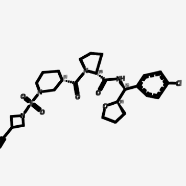 N#CC1CN(S(=O)(=O)N2CCC[C@H](C(=O)N3CCC[C@@H]3C(=O)N[C@@H](c3ccc(Cl)cc3)[C@H]3CCCO3)C2)C1